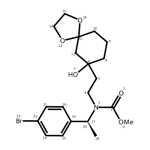 COC(=O)N(CCC1(O)CCCC2(C1)OCCO2)[C@@H](C)c1ccc(Br)cc1